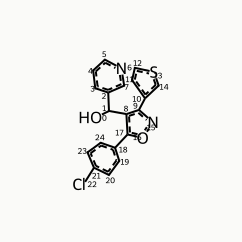 OC(c1cccnc1)c1c(-c2ccsc2)noc1-c1ccc(Cl)cc1